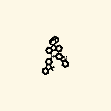 CC1(C)c2ccccc2-c2ccc(N(c3ccc4oc5ccccc5c4c3)c3cccc4c3-c3ccccc3C43C4CC5CC(C4)CC3C5)cc21